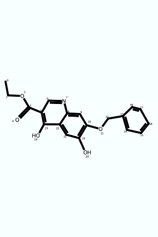 CCOC(=O)c1cnc2cc(OCc3ccccc3)c(O)cc2c1O